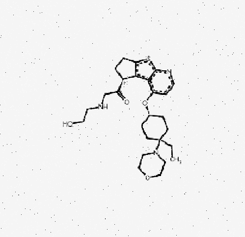 CC[C@]1(N2CCOCC2)CC[C@H](Oc2ccnc3sc4c(c23)[C@@H](C(=O)CNCCO)CC4)CC1